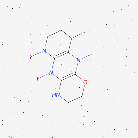 CC1CCN(I)C2=C1N(C)C1=C(NCCO1)N2I